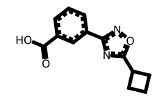 O=C(O)c1cccc(-c2noc(C3CCC3)n2)c1